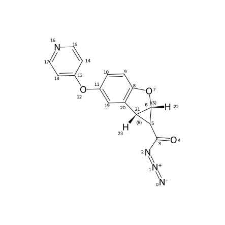 [N-]=[N+]=NC(=O)C1[C@H]2Oc3ccc(Oc4ccncc4)cc3[C@@H]12